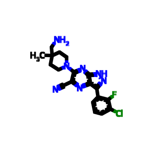 CC1(CN)CCN(c2nc3[nH]nc(-c4cccc(Cl)c4F)c3nc2C#N)CC1